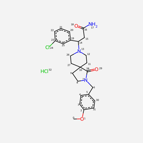 COc1ccc(CN2CCC3(CCN(C(CC(N)=O)c4cccc(Cl)c4)CC3)C2=O)cc1.Cl